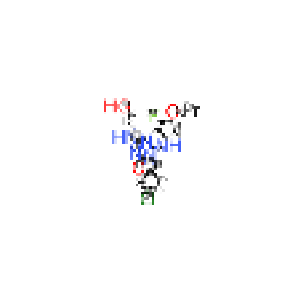 CC(C)Oc1ccc(Nc2nc(NCCCO)nc(=O)n2Cc2ccc(Cl)cc2)cc1F